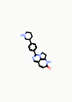 O=C1C=CC2=CN=C(c3ccc(C4CCCNC4)cc3)N3CCC(=C23)N1